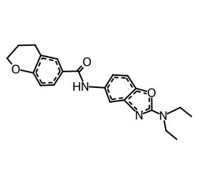 CCN(CC)c1nc2cc(NC(=O)c3ccc4c(c3)CCCO4)ccc2o1